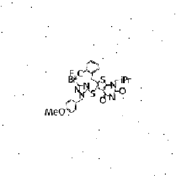 COc1ccc(Cn2nc(Br)nc2Sc2c(Cc3ccccc3C(F)(F)F)sc3c2c(=O)n(C)c(=O)n3CC(C)C)cc1